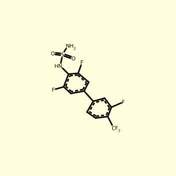 NS(=O)(=O)Nc1c(F)cc(-c2ccc(C(F)(F)F)c(F)c2)cc1F